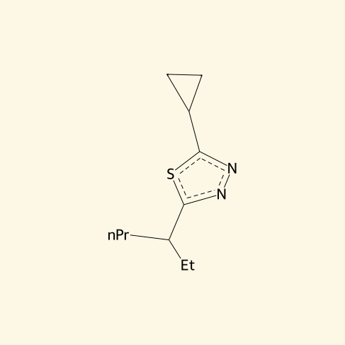 CCCC(CC)c1nnc(C2CC2)s1